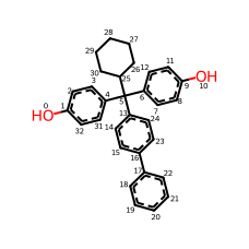 Oc1ccc(C(c2ccc(O)cc2)(c2ccc(-c3ccccc3)cc2)C2CCCCC2)cc1